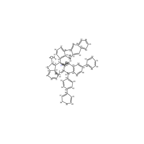 C=C(/C=C(\c1c(C)sc2ccccc12)c1cccc2c1[nH]c1cc3ccccc3cc12)N(c1ccc(C2=CCCC=C2)cc1)c1ccc(-c2ccccc2)cc1BC